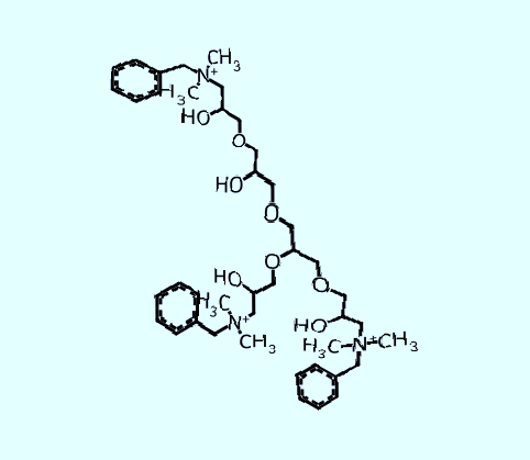 C[N+](C)(Cc1ccccc1)CC(O)COCC(O)COCC(COCC(O)C[N+](C)(C)Cc1ccccc1)OCC(O)C[N+](C)(C)Cc1ccccc1